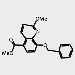 COC(=O)c1ccc(OCc2ccccc2)c2nc(OC)ccc12